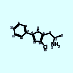 C[C@@H](N)Cc1sc(-c2ccccc2)cc1Cl